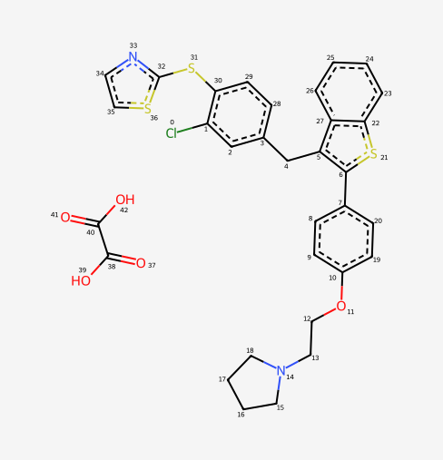 Clc1cc(Cc2c(-c3ccc(OCCN4CCCC4)cc3)sc3ccccc23)ccc1Sc1nccs1.O=C(O)C(=O)O